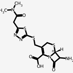 CN(C)C(=O)Cc1nnc(SCC2=C(C(=O)O)N3C(=O)C(N)[C@H]3SC2)s1